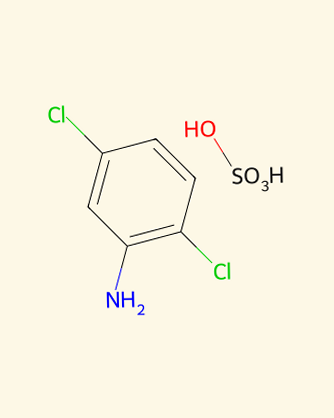 Nc1cc(Cl)ccc1Cl.O=S(=O)(O)O